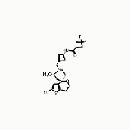 CCc1cc2c(s1)CCO[C@@]21CCN(C[C@H]2C[C@@H](NC(=O)C3CC(F)(F)C3)C2)[C@@H](C)C1